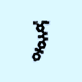 COc1cc(NC(=O)Nc2ccc(S(=O)(=O)N3CCOCC3)cc2)ccc1C#N